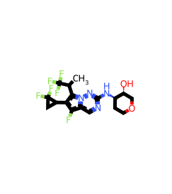 CC(c1c(C2CC2(F)F)c(F)c2cnc(N[C@@H]3CCOC[C@H]3O)nn12)C(F)(F)F